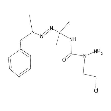 CC(Cc1ccccc1)N=NC(C)(C)NC(=O)N(N)CCCl